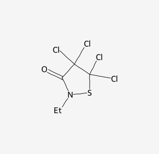 CCN1SC(Cl)(Cl)C(Cl)(Cl)C1=O